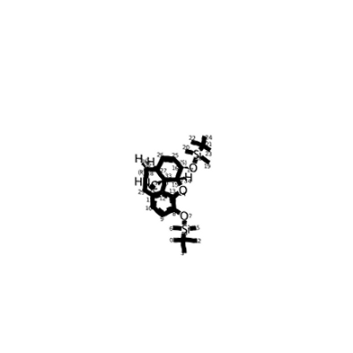 CC(C)(C)[Si](C)(C)Oc1ccc2c3c1O[C@H]1[C@@H](O[Si](C)(C)C(C)(C)C)C=C[C@H]4[C@@H](C2)NCC[C@@]341